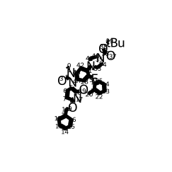 Cn1c(=O)n(-c2ccc(OCc3ccccc3)nc2OCc2ccccc2)c2cc(F)c(N3CCN(C(=O)OC(C)(C)C)CC3)cc21